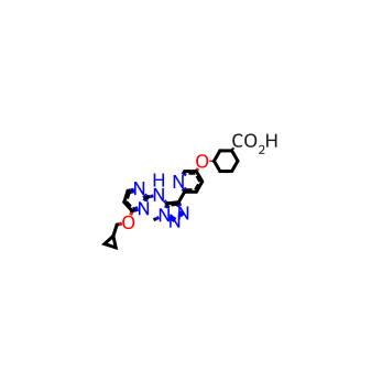 Cn1nnc(-c2ccc(O[C@H]3CCC[C@H](C(=O)O)C3)cn2)c1Nc1nccc(OCC2CC2)n1